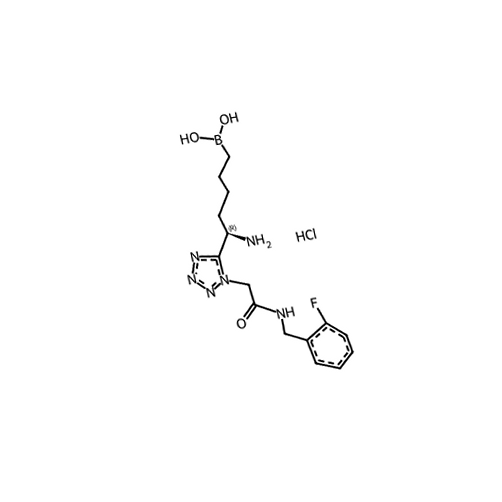 Cl.N[C@H](CCCCB(O)O)c1nnnn1CC(=O)NCc1ccccc1F